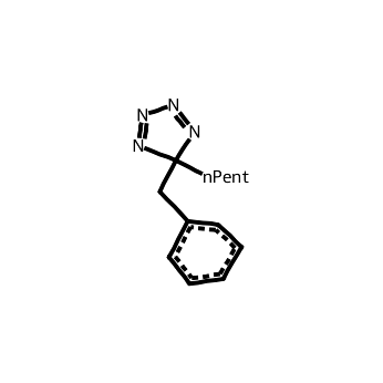 CCCCCC1(Cc2ccccc2)N=NN=N1